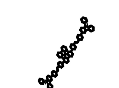 C(=C\c1ccc(-c2ccc3c(c2)c2ccccc2n3-c2ccccc2)cc1)/c1ccc(-c2ccc3c(c2)C2(c4ccccc4-c4ccccc42)c2cc(-c4ccc(/C=C/c5ccc(-c6ccc7c(c6)c6ccccc6n7-c6ccccc6)cc5)cc4)ccc2-3)cc1